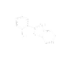 Oc1ccccc1-c1nc2cnccc2[nH]1